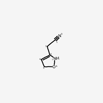 N#CCC1=CCON1